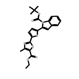 CCOC(=O)c1sc(-c2ccc(-c3cc4ccccc4n3C(=O)OC(C)(C)C)s2)nc1C